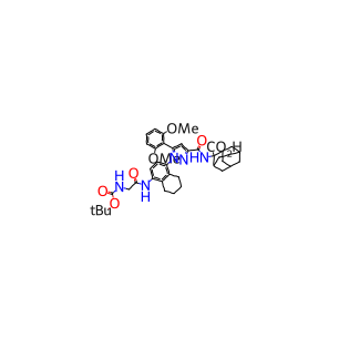 COc1cccc(OC)c1-c1cc(C(=O)NC2(C(=O)O)C3CC4CC(C3)CC2C4)nn1-c1ccc(NC(=O)CNC(=O)OC(C)(C)C)c2c1CCCC2